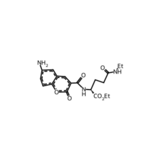 CCNC(=O)CC[C@H](NC(=O)c1cc2cc(N)ccc2oc1=O)C(=O)OCC